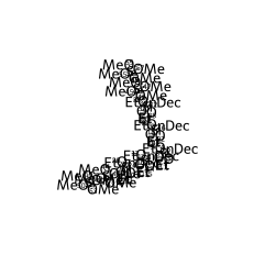 CCCCCCCCCC[Si](OCC)(OCC)OCC.CCCCCCCCCC[Si](OCC)(OCC)OCC.CCCCCCCCCC[Si](OCC)(OCC)OCC.CCCCCCCCCC[Si](OCC)(OCC)OCC.CCCCCCCCCC[Si](OCC)(OCC)OCC.CO[Si](OC)(OC)OC.CO[Si](OC)(OC)OC.CO[Si](OC)(OC)OC.CO[Si](OC)(OC)OC